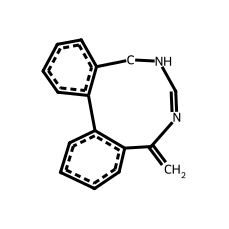 C=C1/N=C\NCc2ccccc2-c2ccccc21